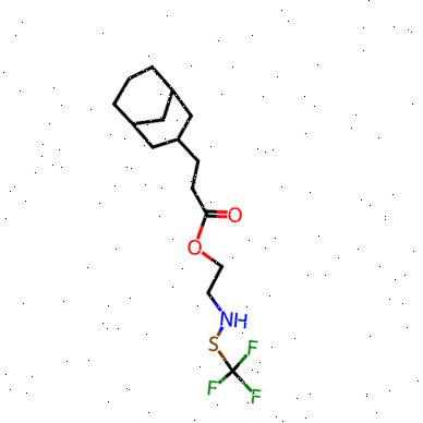 O=C(CCC1CC2CCCC(C2)C1)OCCNSC(F)(F)F